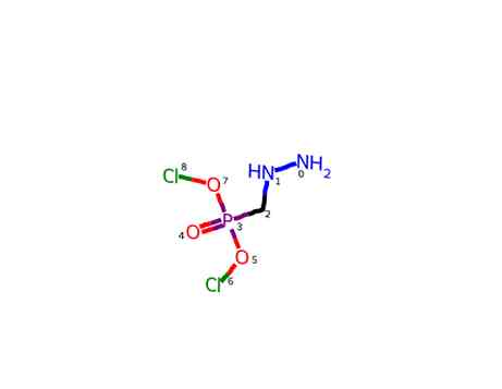 NNCP(=O)(OCl)OCl